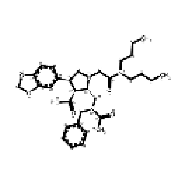 CCCCN(CCCC)C(=O)CN1C[C@H](c2ccc3c(c2)OCO3)[C@H](C(=O)O)[C@H]1CN(Cc1ccccc1)C(C)=O